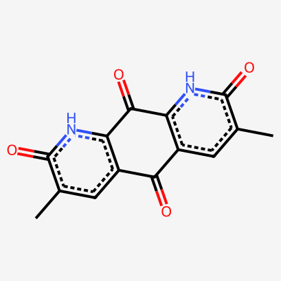 Cc1cc2c([nH]c1=O)C(=O)c1[nH]c(=O)c(C)cc1C2=O